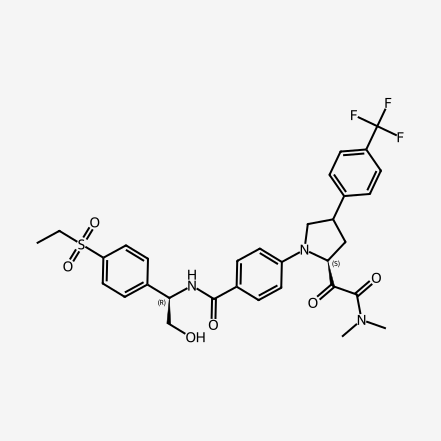 CCS(=O)(=O)c1ccc([C@H](CO)NC(=O)c2ccc(N3CC(c4ccc(C(F)(F)F)cc4)C[C@H]3C(=O)C(=O)N(C)C)cc2)cc1